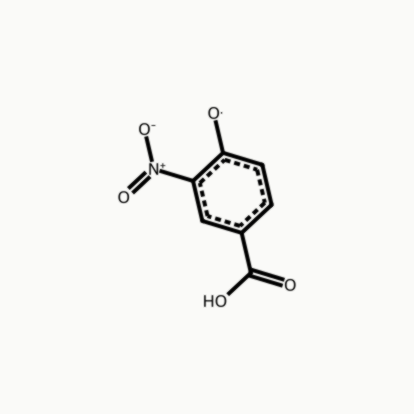 [O]c1ccc(C(=O)O)cc1[N+](=O)[O-]